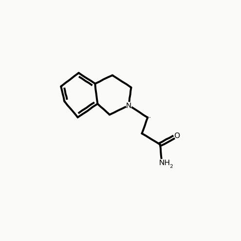 NC(=O)C[CH]N1CCc2ccccc2C1